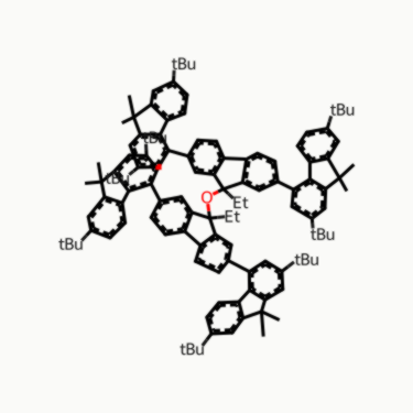 CCC1(OC2(CC)c3cc(-c4cc(C(C)(C)C)cc5c4-c4ccc(C(C)(C)C)cc4C5(C)C)ccc3-c3ccc(-c4cc(C(C)(C)C)cc5c4-c4ccc(C(C)(C)C)cc4C5(C)C)cc32)c2cc(-c3cc(C(C)(C)C)cc4c3-c3ccc(C(C)(C)C)cc3C4(C)C)ccc2-c2ccc(-c3cc(C(C)(C)C)cc4c3-c3ccc(C(C)(C)C)cc3C4(C)C)cc21